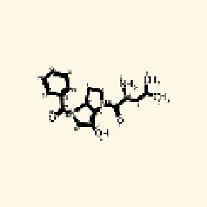 CC(C)C[C@H](N)C(=O)N1CCC2C1=C(O)CN2C(=O)c1ccccc1